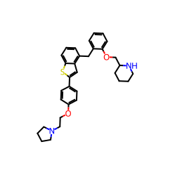 c1ccc(OCC2CCCCN2)c(Cc2cccc3sc(-c4ccc(OCCN5CCCC5)cc4)cc23)c1